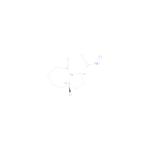 CCNC(=O)[C@@H]1CC[C@@H]2CCCCC(=O)N21